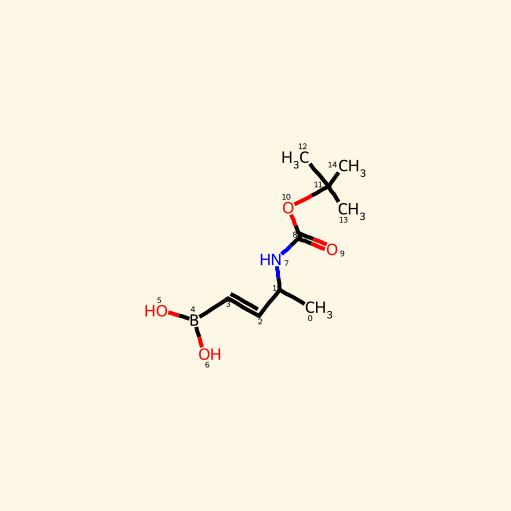 CC(/C=C/B(O)O)NC(=O)OC(C)(C)C